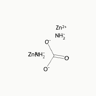 O=C([O-])[O-].[NH2-].[NH2-].[Zn+2].[Zn+2]